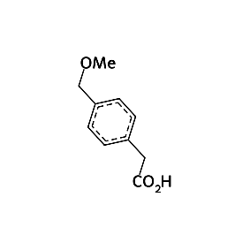 COCc1ccc(CC(=O)O)cc1